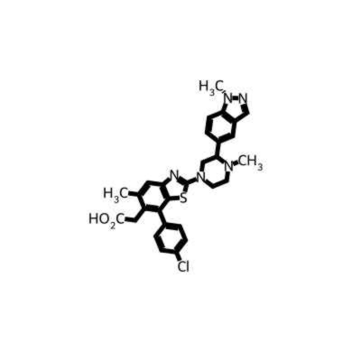 Cc1cc2nc(N3CCN(C)C(c4ccc5c(cnn5C)c4)C3)sc2c(-c2ccc(Cl)cc2)c1CC(=O)O